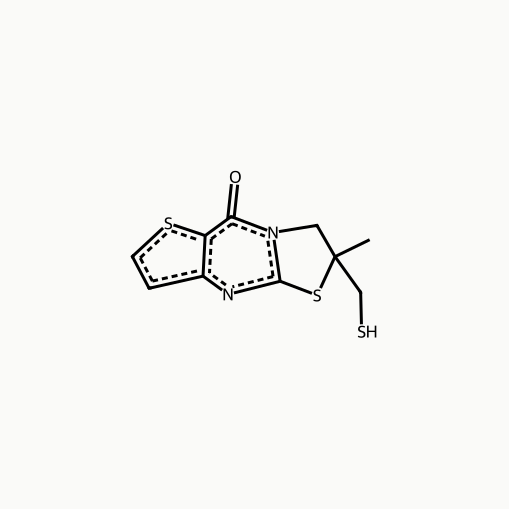 CC1(CS)Cn2c(nc3ccsc3c2=O)S1